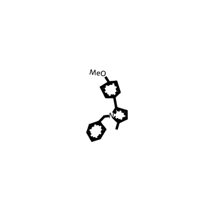 COc1ccc(-c2ccc(C)n2Cc2ccccc2)cc1